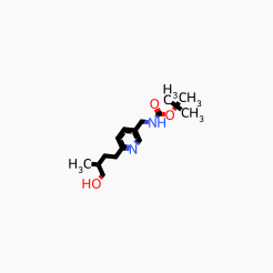 CC(CO)CCc1ccc(CNC(=O)OC(C)(C)C)cn1